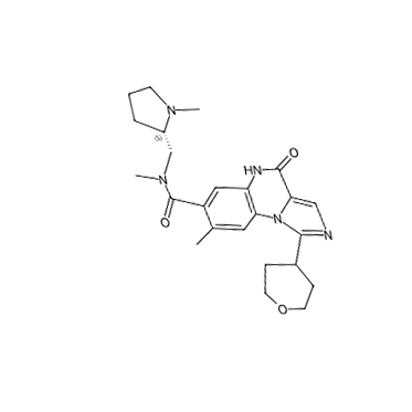 Cc1cc2c(cc1C(=O)N(C)C[C@@H]1CCCN1C)[nH]c(=O)c1cnc(C3CCOCC3)n12